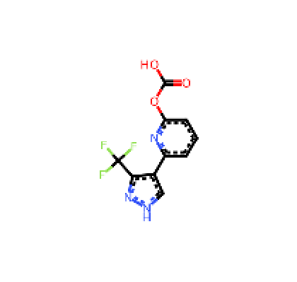 O=C(O)Oc1cccc(-c2c[nH]nc2C(F)(F)F)n1